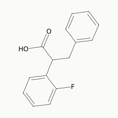 O=C(O)C(Cc1ccccc1)c1ccccc1F